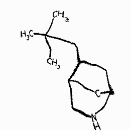 CC(C)(C)CC1CC2CCC1CN2